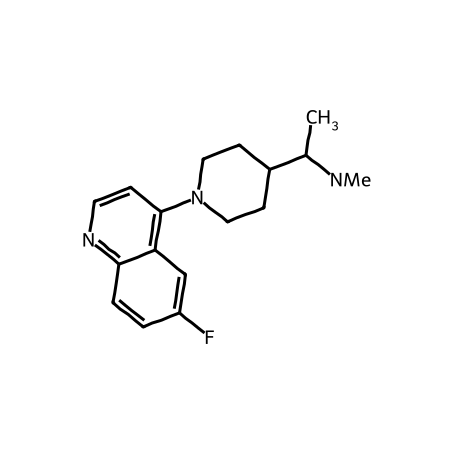 CNC(C)C1CCN(c2ccnc3ccc(F)cc23)CC1